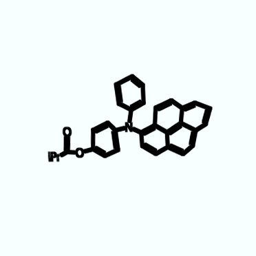 CC(C)C(=O)Oc1ccc(N(c2ccccc2)c2ccc3ccc4cccc5ccc2c3c45)cc1